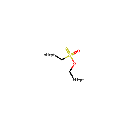 CCCCCCCCOS(=O)(=S)CCCCCCCC